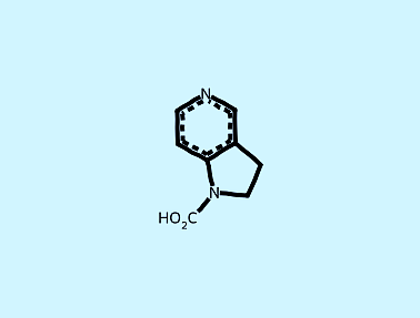 O=C(O)N1CCc2cnccc21